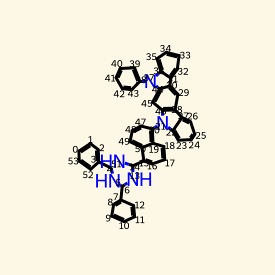 c1ccc(C2NC(c3ccccc3)NC(c3cccc4c(-n5c6ccccc6c6cc7c8ccccc8n(-c8ccccc8)c7cc65)cccc34)N2)cc1